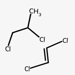 CC(Cl)CCl.ClC=CCl